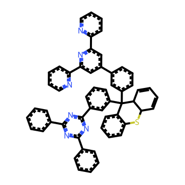 C1=CC2Sc3ccccc3C(c3cccc(-c4cc(-c5ccccn5)nc(-c5ccccn5)c4)c3)(c3cccc(-c4nc(-c5ccccc5)nc(-c5ccccc5)n4)c3)C2C=C1